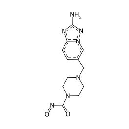 Nc1nc2ccc(CN3CCN(C(=O)N=O)CC3)cn2n1